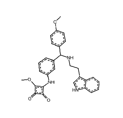 COc1ccc(C(NCCc2c[nH]c3ccccc23)c2cccc(Nc3c(OC)c(=O)c3=O)c2)cc1